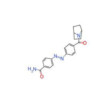 NC(=O)c1ccc(N=Nc2ccc(C(=O)N3C4CCC3CC4)cc2)cc1